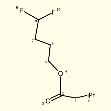 CC(C)CC(=O)OCCCC(F)F